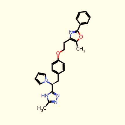 Cc1nnc([C@H](Cc2ccc(OCCc3nc(-c4ccccc4)oc3C)cc2)n2cccc2)[nH]1